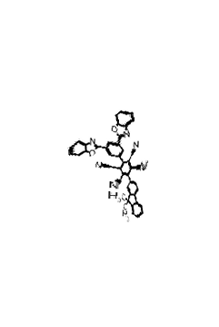 CC1(C)c2ccccc2-c2ccc(-c3c(C#N)c(C#N)c(-c4cc(-c5nc6ccccc6o5)cc(-c5nc6ccccc6o5)c4)c(C#N)c3C#N)cc21